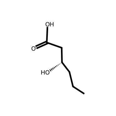 CCC[C@H](O)CC(=O)O